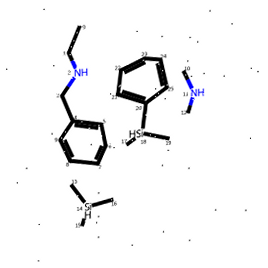 CCNCc1ccccc1.CNC.C[SiH](C)C.C[SiH](C)c1ccccc1